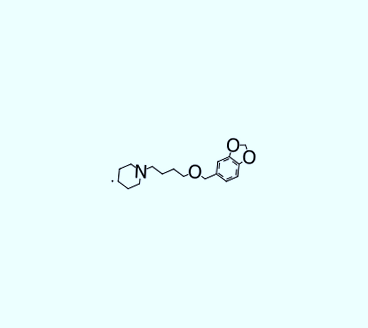 [CH]1CCN(CCCCOCc2ccc3c(c2)OCO3)CC1